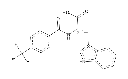 O=C(N[C@@H](Cc1c[nH]c2ccccc12)C(=O)O)c1ccc(C(F)(F)F)cc1